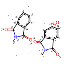 CN1C(=O)c2ccccc2C1=O.CN1C(=O)c2ccccc2C1=O.O